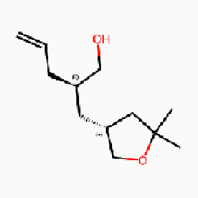 C=CC[C@@H](CO)C[C@H]1COC(C)(C)C1